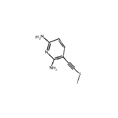 Nc1ccc(C#CSI)c(N)n1